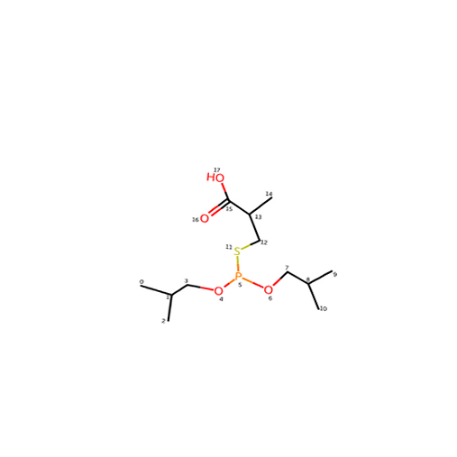 CC(C)COP(OCC(C)C)SCC(C)C(=O)O